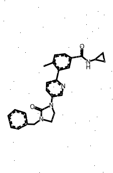 Cc1ccc(C(=O)NC2CC2)cc1-c1ccc(N2CCN(Cc3ccccc3)C2=O)cn1